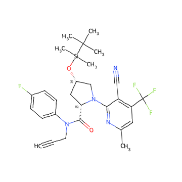 C#CCN(C(=O)[C@@H]1C[C@H](O[Si](C)(C)C(C)(C)C)CN1c1nc(C)cc(C(F)(F)F)c1C#N)c1ccc(F)cc1